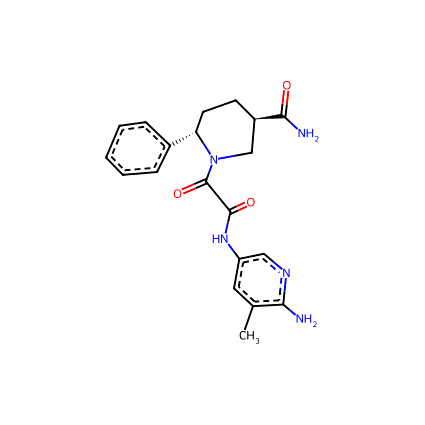 Cc1cc(NC(=O)C(=O)N2C[C@H](C(N)=O)CC[C@H]2c2ccccc2)cnc1N